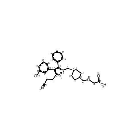 N#CCCc1nn(C[C@H]2CC[C@@H](COCC(=O)O)CC2)c(-c2ccccc2)c1-c1cccc(Cl)c1